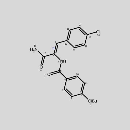 CC(C)COc1ccc(C(=O)N/C(=C\c2ccc(Cl)cc2)C(N)=O)cc1